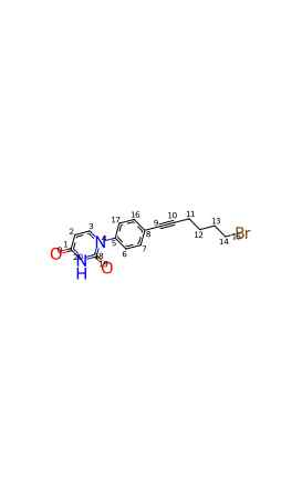 O=c1ccn(-c2ccc(C#CCCCCBr)cc2)c(=O)[nH]1